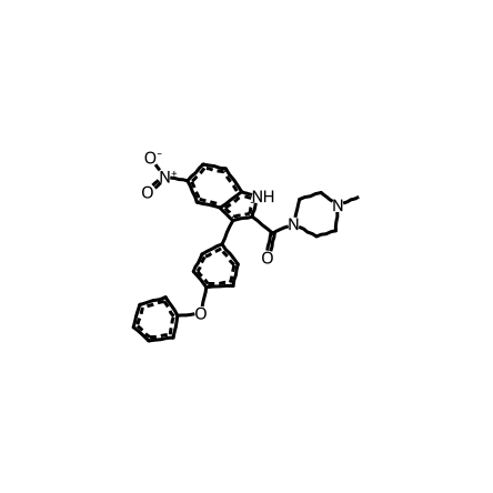 CN1CCN(C(=O)c2[nH]c3ccc([N+](=O)[O-])cc3c2-c2ccc(Oc3ccccc3)cc2)CC1